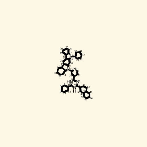 c1ccc(C2NC(c3ccnc(-n4c5ccccc5c5cc6c7ccccc7n(-c7ccccc7)c6cc54)c3)=NC(c3ccc4ccccc4c3)N2)cc1